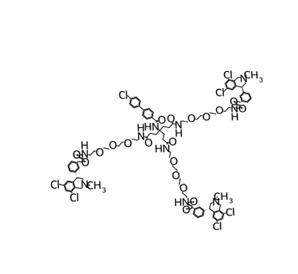 CN1Cc2c(Cl)cc(Cl)cc2[C@H](c2cccc(S(=O)(=O)NCCOCCOCCOCCNC(=O)CCC(CCC(=O)NCCOCCOCCOCCNS(=O)(=O)c3cccc([C@@H]4CN(C)Cc5c(Cl)cc(Cl)cc54)c3)(CCC(=O)NCCOCCOCCOCCNS(=O)(=O)c3cccc([C@@H]4CN(C)Cc5c(Cl)cc(Cl)cc54)c3)NC(=O)c3ccc(-c4ccc(Cl)cc4)cc3)c2)C1